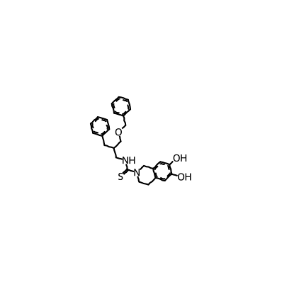 Oc1cc2c(cc1O)CN(C(=S)NCC(COCc1ccccc1)Cc1ccccc1)CC2